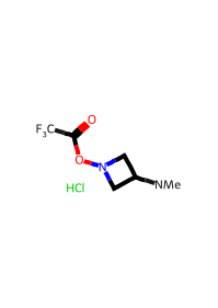 CNC1CN(OC(=O)C(F)(F)F)C1.Cl